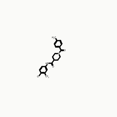 Cc1ccc(C(=O)N2CCC(C(=O)Nc3ccc(Cl)c(C(F)(F)F)c3)CC2)cc1